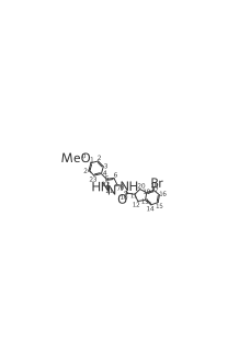 COc1ccc(-c2cc(NC(=O)C3Cc4cccc(Br)c4C3)n[nH]2)cc1